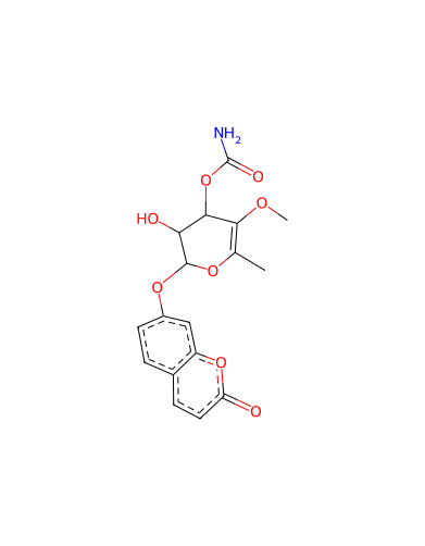 COC1=C(C)OC(Oc2ccc3ccc(=O)oc3c2)C(O)C1OC(N)=O